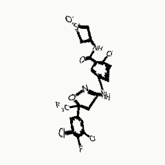 O=C(NC1C[S+]([O-])C1)c1cc(NC2=NOC(c3cc(Cl)c(F)c(Cl)c3)(C(F)(F)F)C2)ccc1Cl